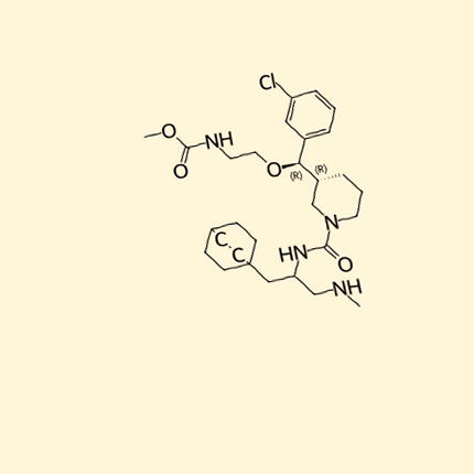 CNCC(CC12CCC(CC1)CC2)NC(=O)N1CCC[C@@H]([C@@H](OCCNC(=O)OC)c2cccc(Cl)c2)C1